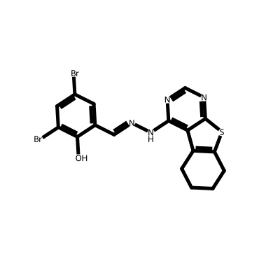 Oc1c(Br)cc(Br)cc1/C=N/Nc1ncnc2sc3c(c12)CCCC3